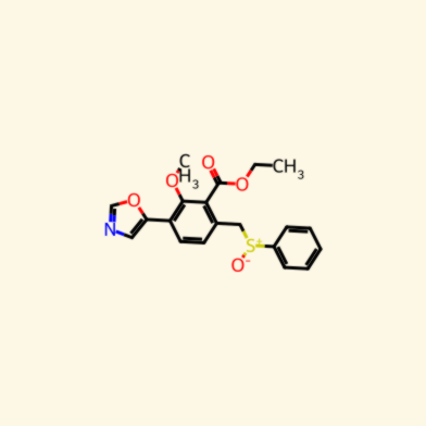 CCOC(=O)c1c(C[S+]([O-])c2ccccc2)ccc(-c2cnco2)c1OC